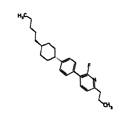 CCCCC[C@H]1CC[C@H](c2ccc(-c3ccc(CCC)nc3F)cc2)CC1